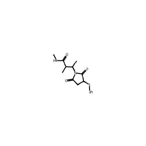 CBC(=O)C(C)C(C)N1C(=O)CC(SC(C)C)C1=O